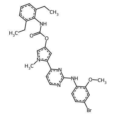 CCc1cccc(CC)c1NC(=O)Oc1cc(-c2ccnc(Nc3ccc(Br)cc3OC)n2)n(C)c1